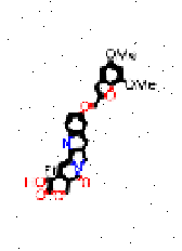 CC[C@@]1(O)C(=O)OCc2c1cc1n(c2=O)Cc2cc3cc(OCc4cc5cc(OC)cc(OC)c5o4)ccc3nc2-1